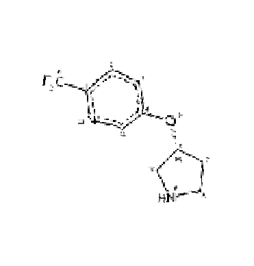 FC(F)(F)c1ccc(O[C@@H]2CCNC2)cn1